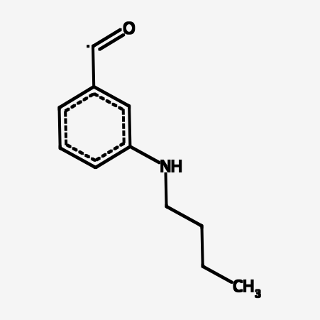 CCCCNc1cccc([C]=O)c1